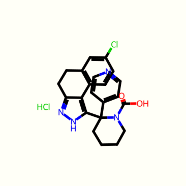 Cl.O=C(O)N1CCCCC1(c1ccncc1)c1[nH]nc2c1-c1ccc(Cl)cc1CC2